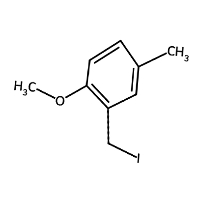 COc1ccc(C)cc1CI